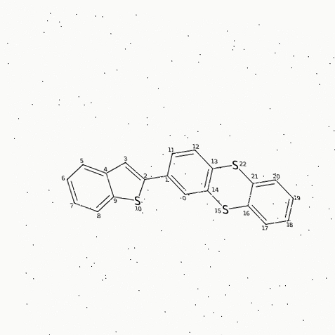 [c]1c(-c2cc3ccccc3s2)ccc2c1Sc1ccccc1S2